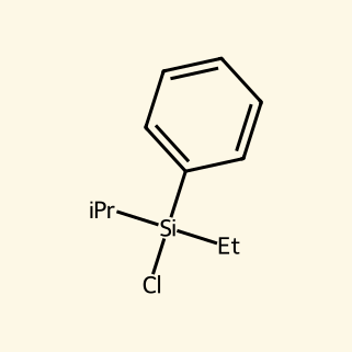 CC[Si](Cl)(c1ccccc1)C(C)C